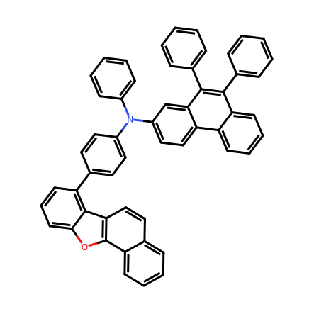 c1ccc(-c2c(-c3ccccc3)c3cc(N(c4ccccc4)c4ccc(-c5cccc6oc7c8ccccc8ccc7c56)cc4)ccc3c3ccccc23)cc1